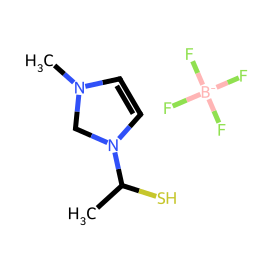 CC(S)N1C=CN(C)C1.F[B-](F)(F)F